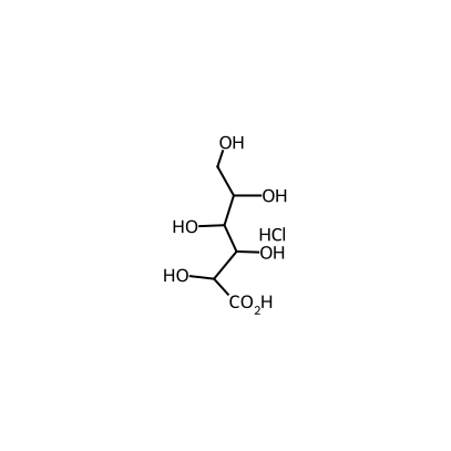 Cl.O=C(O)C(O)C(O)C(O)C(O)CO